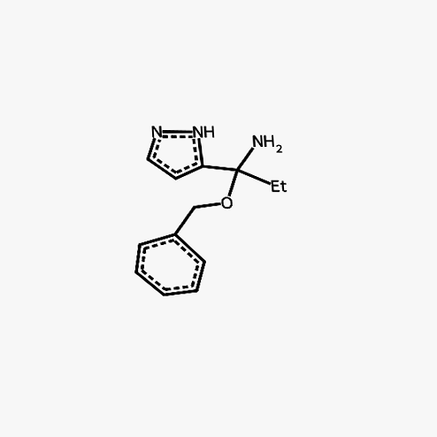 CCC(N)(OCc1ccccc1)c1ccn[nH]1